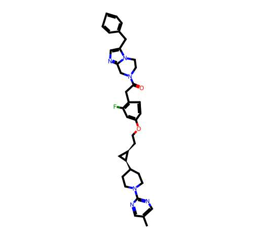 Cc1cnc(N2CCC([C@H]3C[C@H]3CCOc3ccc(CC(=O)N4CCn5c(Cc6ccccc6)cnc5C4)c(F)c3)CC2)nc1